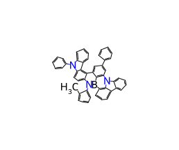 Cc1ccccc1N1B2c3c(cc(-c4ccccc4)cc3-n3c4ccccc4c4cccc2c43)-c2c1ccc1c2c2ccccc2n1-c1ccccc1